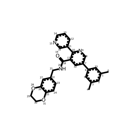 Cc1cc(C)cc(-c2cnc(-c3cccnc3)c(C(=O)NCc3ccc4c(c3)OCCO4)c2)c1